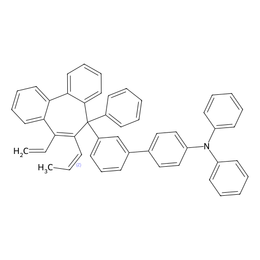 C=CC1=C(/C=C\C)C(c2ccccc2)(c2cccc(-c3ccc(N(c4ccccc4)c4ccccc4)cc3)c2)c2ccccc2-c2ccccc21